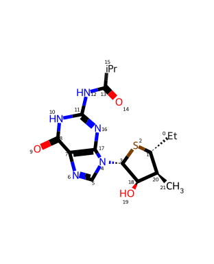 CC[C@H]1S[C@@H](n2cnc3c(=O)[nH]c(NC(=O)C(C)C)nc32)[C@H](O)[C@@H]1C